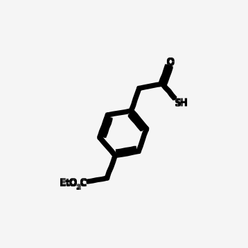 CCOC(=O)Cc1ccc(CC(=O)S)cc1